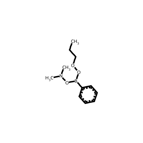 CCCOOB(ON(C)C)c1ccccc1